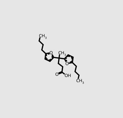 CCCCc1ccc(C(C)(CCC(=O)O)c2ccc(CCCC)o2)o1